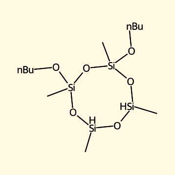 CCCCO[Si]1(C)O[SiH](C)O[SiH](C)O[Si](C)(OCCCC)O1